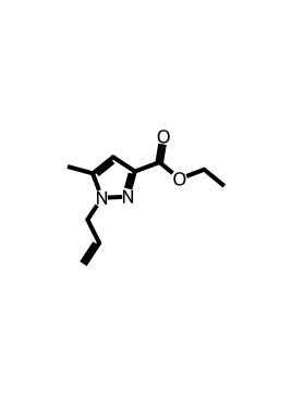 C=CCn1nc(C(=O)OCC)cc1C